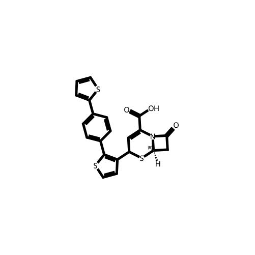 O=C(O)C1=CC(c2ccsc2-c2ccc(-c3cccs3)cc2)S[C@@H]2CC(=O)N12